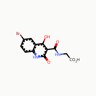 O=C(O)CNC(=O)c1c(O)c2cc(Br)ccc2[nH]c1=O